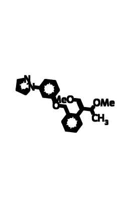 CO/C=C(\c1ccccc1COc1cccc(-n2cccn2)c1)C(C)OC